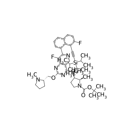 CC(C)[Si](C#Cc1c(F)ccc2cccc(-c3ncc4c(N(C)[C@@H]5CCN(C(=O)OC(C)(C)C)[C@@H]5C)nc(OC[C@@H]5CCCN5C)nc4c3F)c12)(C(C)C)C(C)C